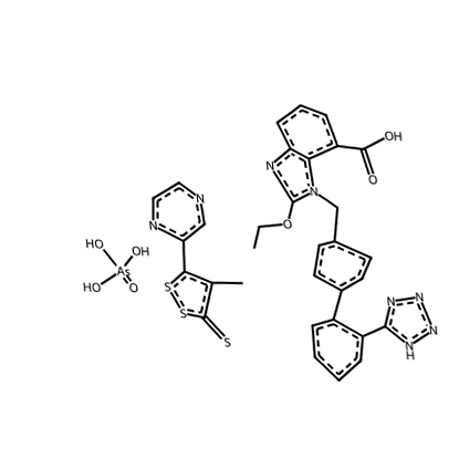 CCOc1nc2cccc(C(=O)O)c2n1Cc1ccc(-c2ccccc2-c2nnn[nH]2)cc1.Cc1c(-c2cnccn2)ssc1=S.O=[As](O)(O)O